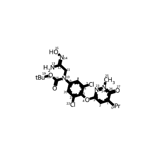 CC(C)c1cc(Oc2c(Cl)cc(N(C/C(N)=N/O)C(=O)OC(C)(C)C)cc2Cl)nn(C)c1=O